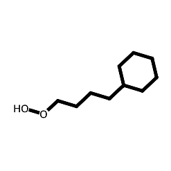 OOCCCC[C]1CCCCC1